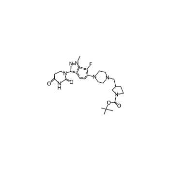 Cn1nc(N2CCC(=O)NC2=O)c2ccc(N3CCN(CC4CCN(C(=O)OC(C)(C)C)C4)CC3)c(F)c21